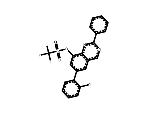 O=S(=O)(Oc1cc(-c2ccccc2Cl)cc2cnc(-c3ccccc3)nc12)C(F)(F)F